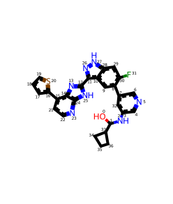 OC(Nc1cncc(-c2cc3c(-c4nc5c(-c6cccs6)ccnc5[nH]4)n[nH]c3cc2F)c1)C1CCC1